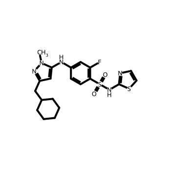 Cn1nc(CC2CCCCC2)cc1Nc1ccc(S(=O)(=O)Nc2nccs2)c(F)c1